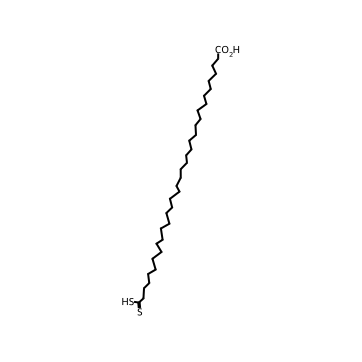 O=C(O)CCCCCCCCCCCCCCCCCCCCCCCCCCCCCCCCCC(=S)S